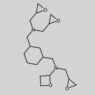 C1CC(CN(CC2CO2)CC2CO2)CC(CN(CC2CO2)C2CCO2)C1